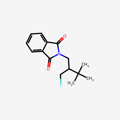 CC(C)(C)C(CF)CN1C(=O)c2ccccc2C1=O